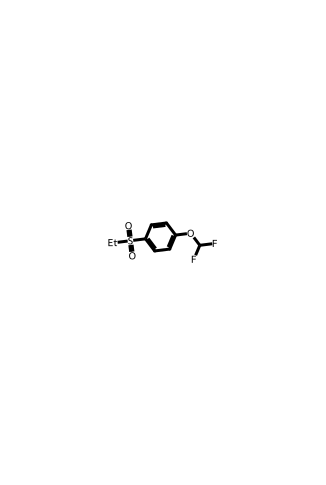 CCS(=O)(=O)c1ccc(OC(F)F)cc1